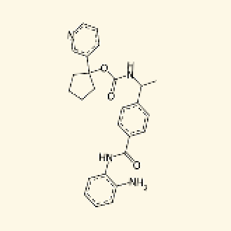 CC(NC(=O)OC1(c2cccnc2)CCCC1)c1ccc(C(=O)Nc2ccccc2N)cc1